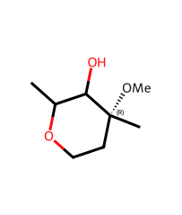 CO[C@]1(C)CCOC(C)C1O